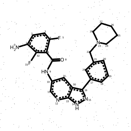 Nc1ccc(F)c(C(=O)Nc2cnc3[nH]nc(-c4cccc(CN5CCCCC5)c4)c3c2)c1F